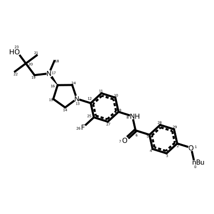 CCCCOc1ccc(C(=O)Nc2ccc(N3CC[C@@H](N(C)CC(C)(C)O)C3)c(F)c2)cc1